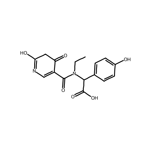 CCN(C(=O)C1=CN=C(O)CC1=O)C(C(=O)O)c1ccc(O)cc1